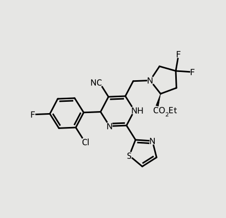 CCOC(=O)[C@@H]1CC(F)(F)CN1CC1=C(C#N)C(c2ccc(F)cc2Cl)N=C(c2nccs2)N1